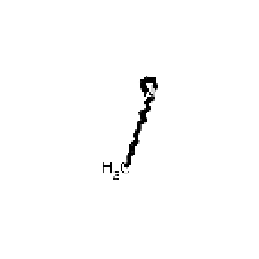 CCCCCCCCCCCCCCN1CCCCC1